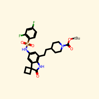 CC(C)(C)OC(=O)N1CCC(CCc2cc(NS(=O)(=O)c3ccc(F)cc3F)cc3c2NC(=O)C32CCC2)CC1